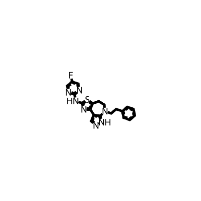 Fc1cnc(Nc2nc3c(s2)CCN(CCc2ccccc2)c2[nH]ncc2-3)nc1